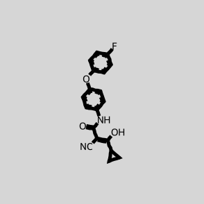 N#CC(C(=O)Nc1ccc(Oc2ccc(F)cc2)cc1)=C(O)C1CC1